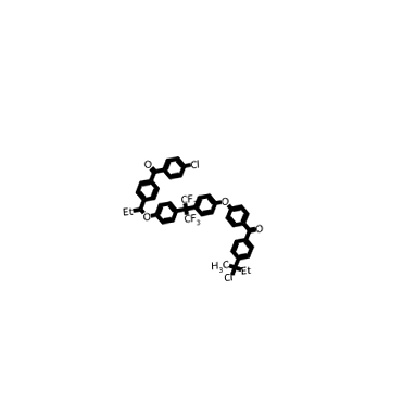 CCC(Oc1ccc(C(c2ccc(Oc3ccc(C(=O)c4ccc(C(C)(Cl)CC)cc4)cc3)cc2)(C(F)(F)F)C(F)(F)F)cc1)c1ccc(C(=O)c2ccc(Cl)cc2)cc1